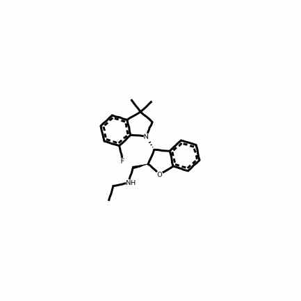 CCNC[C@@H]1Oc2ccccc2[C@H]1N1CC(C)(C)c2cccc(F)c21